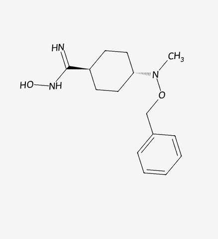 CN(OCc1ccccc1)[C@H]1CC[C@H](C(=N)NO)CC1